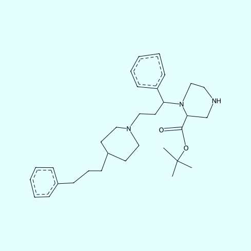 CC(C)(C)OC(=O)C1CNCCN1C(CCN1CCC(CCCc2ccccc2)CC1)c1ccccc1